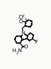 NC(=O)c1cccc2c1c1[c]c(F)ccc1n2Cc1ccccc1OC(F)(F)F